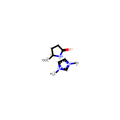 CCn1cc[n+](C)c1.O=C1CCC(C(=O)[O-])N1